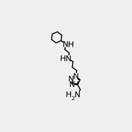 NCc1cn(CCCNCCNC2CCCCC2)nn1